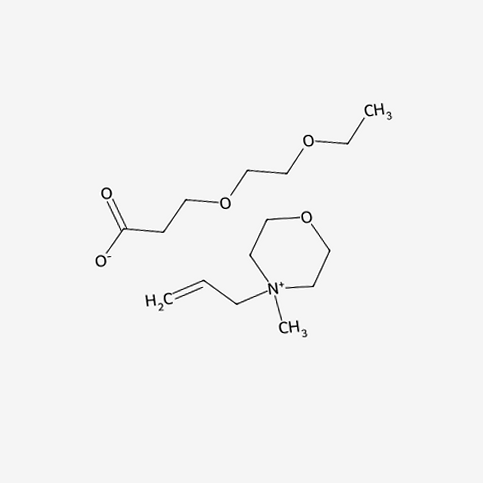 C=CC[N+]1(C)CCOCC1.CCOCCOCCC(=O)[O-]